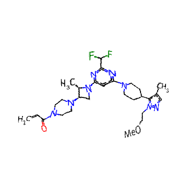 C=CC(=O)N1CCN([C@@H]2CN(c3cc(N4CCC(c5c(C)cnn5CCOC)CC4)nc(C(F)F)n3)[C@@H]2C)CC1